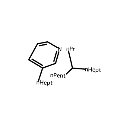 CCCCCCCC(CCC)CCCCC.CCCCCCCc1cccnc1